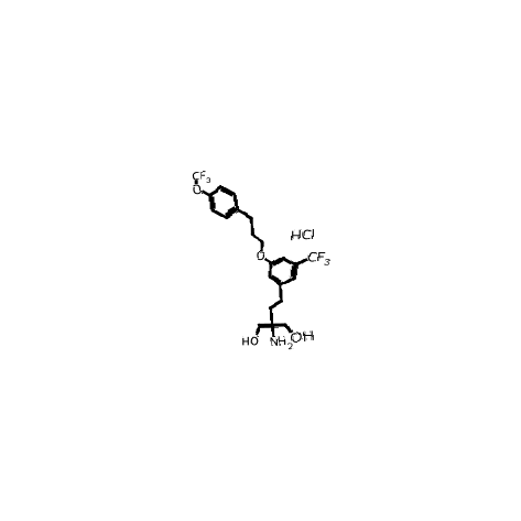 Cl.NC(CO)(CO)CCc1cc(OCCCc2ccc(OC(F)(F)F)cc2)cc(C(F)(F)F)c1